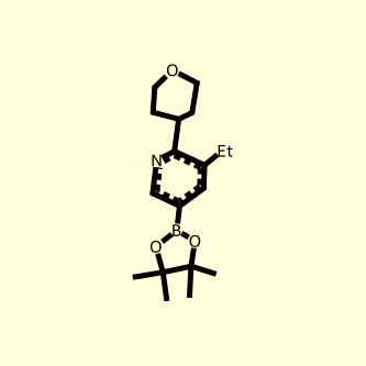 CCc1cc(B2OC(C)(C)C(C)(C)O2)cnc1C1CCOCC1